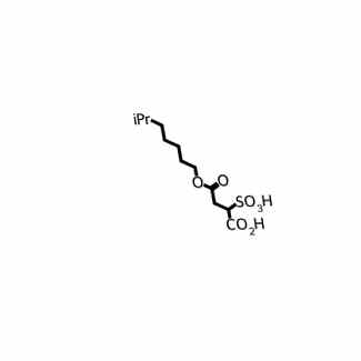 CC(C)CCCCCOC(=O)CC(C(=O)O)S(=O)(=O)O